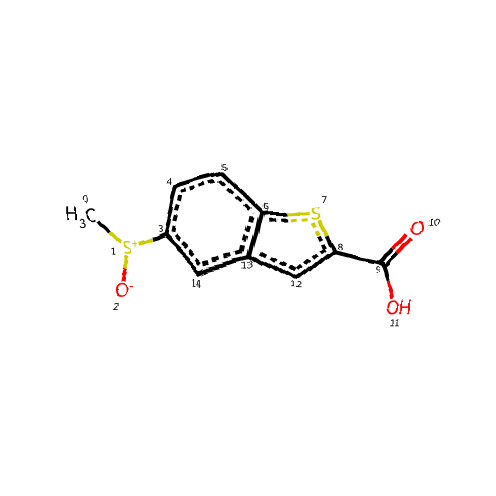 C[S+]([O-])c1ccc2sc(C(=O)O)cc2c1